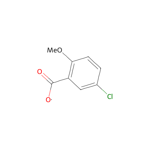 COc1ccc(Cl)cc1C([O])=O